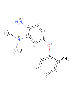 Cc1ccccc1Oc1ccc(N)c(N(C)C(=O)O)c1